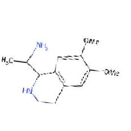 COc1cc2c(cc1OC)C(C(C)N)NCC2